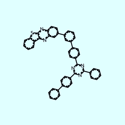 c1ccc(-c2ccc(-c3nc(-c4ccccc4)nc(-c4ccc(-c5cccc(-c6ccc7nc8sc9ccccc9c8nc7c6)c5)cc4)n3)cc2)cc1